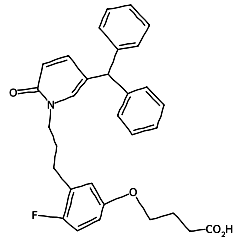 O=C(O)CCCOc1ccc(F)c(CCCn2cc(C(c3ccccc3)c3ccccc3)ccc2=O)c1